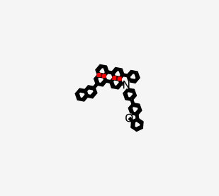 c1ccc(-c2ccc(-c3ccccc3N(c3ccc(-c4cccc(-c5ccc6ccccc6c5)c4)cc3)c3ccc(-c4ccc5c(c4)oc4ccccc45)cc3)cc2)cc1